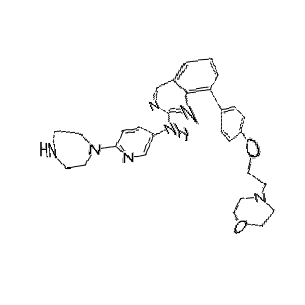 c1cc(-c2ccc(OCCN3CCOCC3)cc2)c2nc(Nc3ccc(N4CCNCC4)nc3)ncc2c1